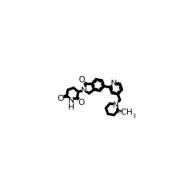 C[C@H]1CCCCN1Cc1ccnc(-c2ccc3c(c2)CN(C2CCC(=O)NC2=O)C3=O)c1